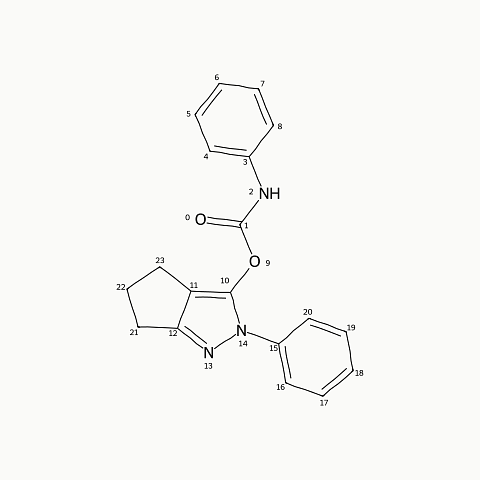 O=C(Nc1ccccc1)Oc1c2c(nn1-c1ccccc1)CCC2